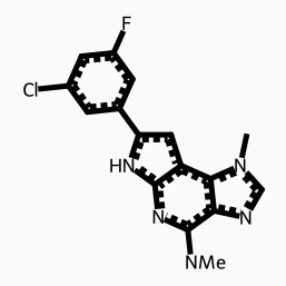 CNc1nc2[nH]c(-c3cc(F)cc(Cl)c3)cc2c2c1ncn2C